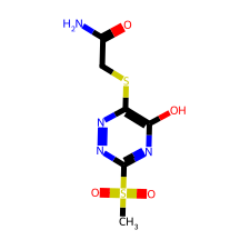 CS(=O)(=O)c1nnc(SCC(N)=O)c(O)n1